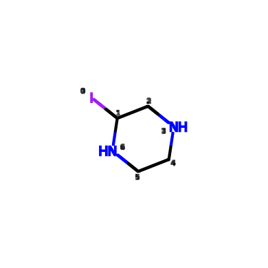 IC1CNCCN1